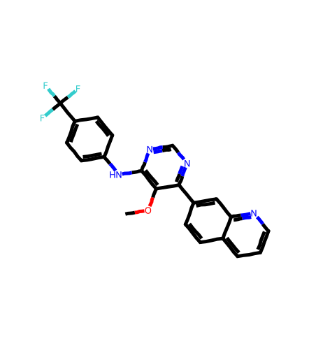 COc1c(Nc2ccc(C(F)(F)F)cc2)ncnc1-c1ccc2cccnc2c1